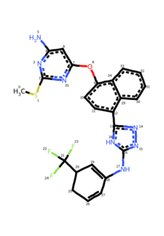 CSc1nc(N)cc(Oc2ccc(-c3nnc(NC4=CC(C(F)(F)F)CC=C4)[nH]3)c3ccccc23)n1